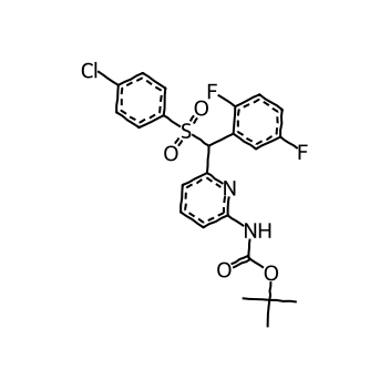 CC(C)(C)OC(=O)Nc1cccc(C(c2cc(F)ccc2F)S(=O)(=O)c2ccc(Cl)cc2)n1